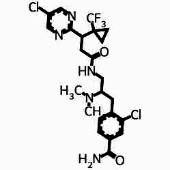 CN(C)C(CNC(=O)CC(c1ncc(Cl)cn1)C1(C(F)(F)F)CC1)Cc1ccc(C(N)=O)cc1Cl